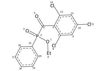 CCOP(=O)(C(=O)c1c(Cl)cc(Cl)cc1Cl)c1ccccc1